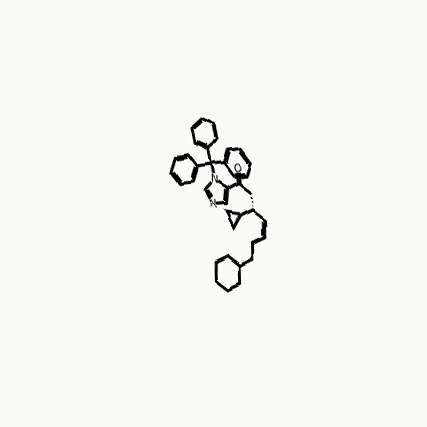 O=C(C[C@H](/C=C\CCC1CCCCC1)C1CC1)c1cncn1C(c1ccccc1)(c1ccccc1)c1ccccc1